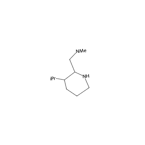 CNCC1NCCCC1C(C)C